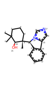 CC1(C)CCC[C@](C)([C@@H]2c3ccccc3-c3cncn32)[C@H]1O